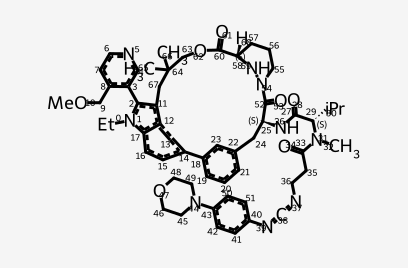 CCn1c(-c2cnccc2COC)c2c3cc(ccc31)-c1cccc(c1)C[C@H](NC(=O)[C@H](C(C)C)N(C)C(=O)CCN=C=Nc1ccc(N3CCOCC3)cc1)C(=O)N1CCC[C@H](N1)C(=O)OCC(C)(C)C2